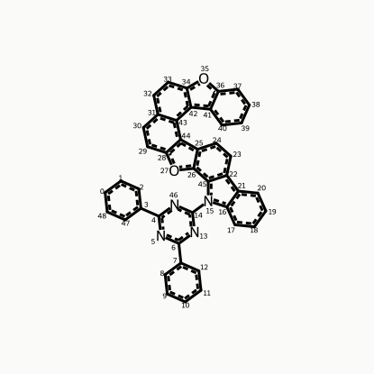 c1ccc(-c2nc(-c3ccccc3)nc(-n3c4ccccc4c4ccc5c(oc6ccc7ccc8oc9ccccc9c8c7c65)c43)n2)cc1